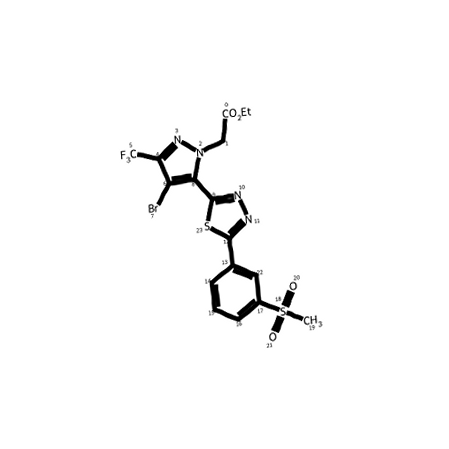 CCOC(=O)Cn1nc(C(F)(F)F)c(Br)c1-c1nnc(-c2cccc(S(C)(=O)=O)c2)s1